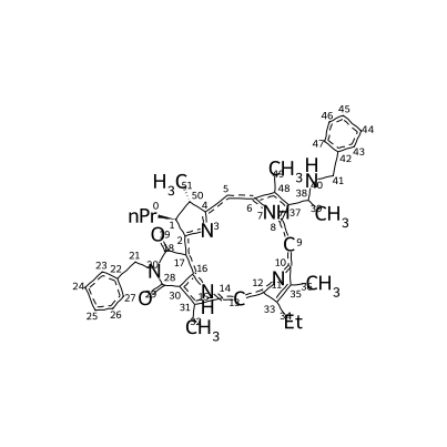 CCC[C@@H]1c2nc(cc3[nH]c(cc4nc(cc5[nH]c6c2C(=O)N(Cc2ccccc2)C(=O)c6c5C)C(CC)=C4C)c(C(C)NCc2ccccc2)c3C)[C@H]1C